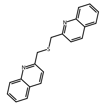 c1ccc2nc(CSCc3ccc4ccccc4n3)ccc2c1